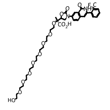 C[C@@](OCCOCCOCCOCCOCCOCCOCCOCCO)(C(=O)O)C1CN(c2ccc3cc(-c4ccccc4C(F)(F)F)[nH]c(=O)c3c2)C(=O)O1